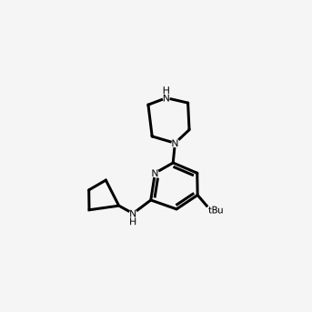 CC(C)(C)c1cc(NC2CCC2)nc(N2CCNCC2)c1